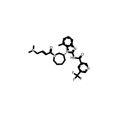 Cc1cccc2nc(NC(=O)c3cncc(C(F)(F)F)c3)n([C@@H]3CCCCN(C(=O)/C=C/CN(C)C)C3)c12